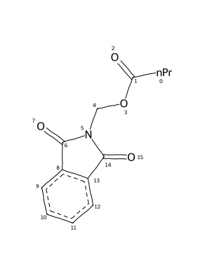 CCCC(=O)OCN1C(=O)c2ccccc2C1=O